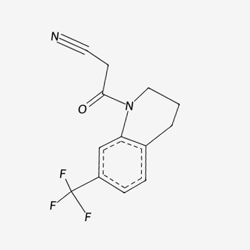 N#CCC(=O)N1CCCc2ccc(C(F)(F)F)cc21